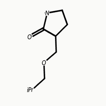 CC(C)COCC1CC[N]C1=O